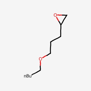 [CH2]CCCCOCCCC1CO1